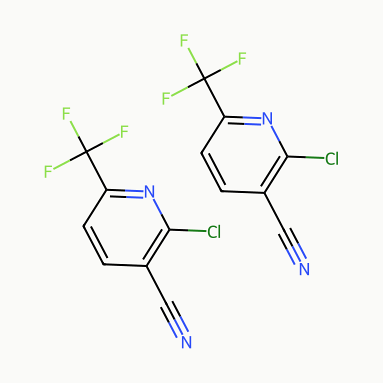 N#Cc1ccc(C(F)(F)F)nc1Cl.N#Cc1ccc(C(F)(F)F)nc1Cl